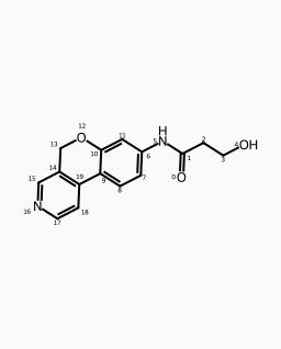 O=C(CCO)Nc1ccc2c(c1)OCc1cnccc1-2